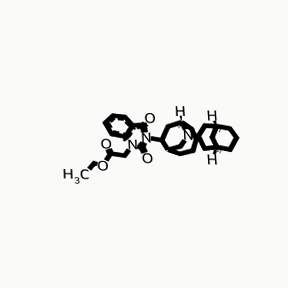 CCOC(=O)Cn1c(=O)n(C2C[C@H]3CCCCC2CN3C2C[C@H]3CCC[C@@H](C2)C3)c(=O)c2ccccc21